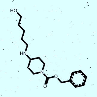 O=C(OCc1ccccc1)N1CCC(NCCCCCO)CC1